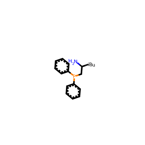 CCC(C)C(N)CP(c1ccccc1)c1ccccc1